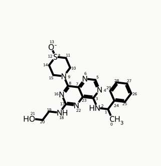 CC(Nc1ncnc2c(N3CC[S+]([O-])CC3)nc(NCCO)nc12)c1ccccc1